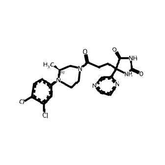 C[C@H]1CN(C(=O)CCC2(c3cnccn3)NC(=O)NC2=O)CCN1c1ccc(Cl)c(Cl)c1